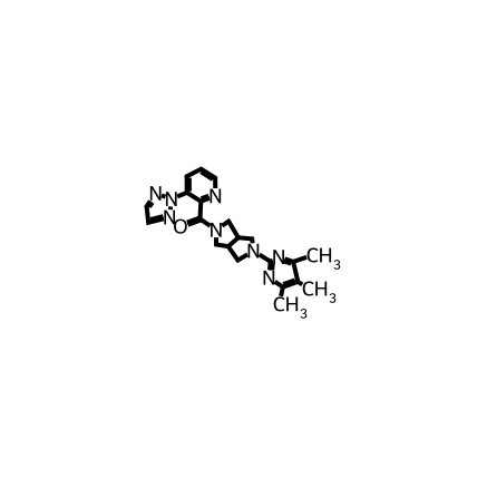 Cc1nc(N2CC3CN(C(=O)c4ncccc4-n4nccn4)CC3C2)nc(C)c1C